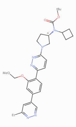 CCc1cc(-c2ccc(-c3ccc(N4CC[C@@H](N(C(=O)OC(C)(C)C)C5CCC5)C4)nn3)c(OCOC)c2)cnn1